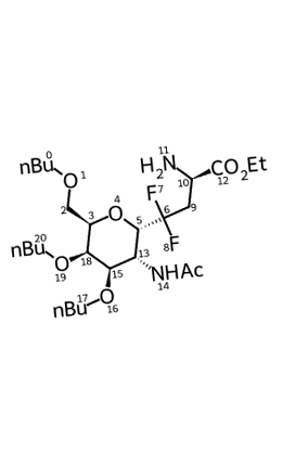 CCCCOC[C@H]1O[C@H](C(F)(F)C[C@@H](N)C(=O)OCC)[C@H](NC(C)=O)[C@@H](OCCCC)[C@H]1OCCCC